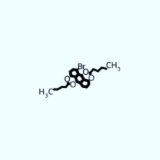 CCCCCC(=O)Oc1c2ccccc2c(OC(=O)CCCCC)c2c(Br)cccc12